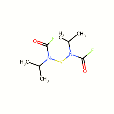 CC(C)N(SN(C(=O)F)C(C)C)C(=O)F